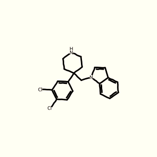 Clc1ccc(C2(Cn3ccc4ccccc43)CCNCC2)cc1Cl